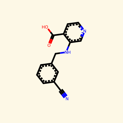 N#Cc1cccc(CNc2cnccc2C(=O)O)c1